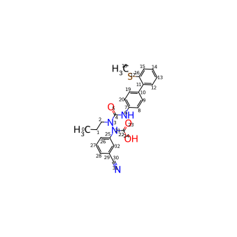 CCCN(C(=O)Nc1ccc(-c2ccccc2SC)cc1)N(C(=O)O)c1cccc(C#N)c1